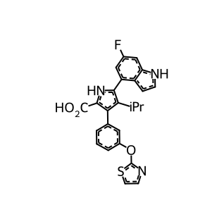 CC(C)c1c(-c2cc(F)cc3[nH]ccc23)[nH]c(C(=O)O)c1-c1cccc(Oc2nccs2)c1